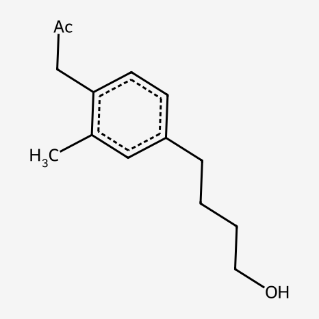 CC(=O)Cc1ccc(CCCCO)cc1C